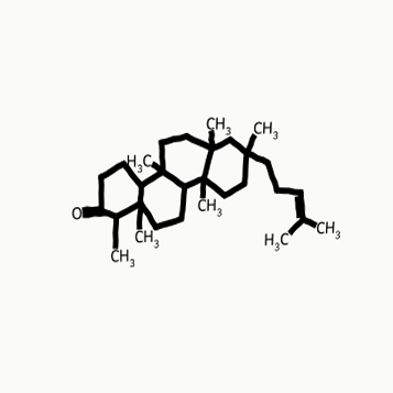 CC(C)=CCCC1(C)CCC2(C)C3CCC4(C)C(C)C(=O)CCC4C3(C)CCC2(C)C1